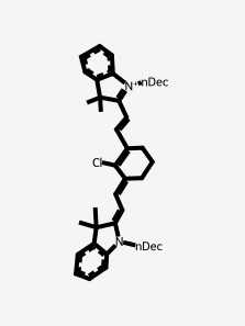 CCCCCCCCCCN1/C(=C/C=C2\CCCC(/C=C/C3=[N+](CCCCCCCCCC)c4ccccc4C3(C)C)=C2Cl)C(C)(C)c2ccccc21